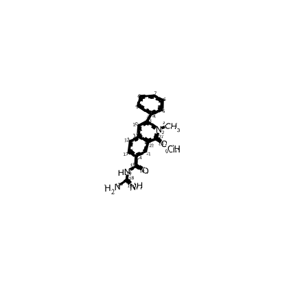 Cl.Cn1c(-c2ccccc2)cc2ccc(C(=O)NC(=N)N)cc2c1=O